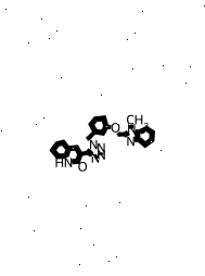 Cn1c(COc2cccc(Cn3nnnc3-c3cc4ccccc4[nH]c3=O)c2)nc2ccccc21